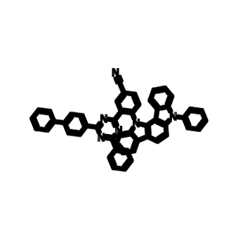 N#Cc1ccc(-n2c3ccccc3c3ccc4c(c5ccccc5n4-c4ccccc4)c32)c(-c2nc(-c3ccccc3)nc(-c3ccc(-c4ccccc4)cc3)n2)c1